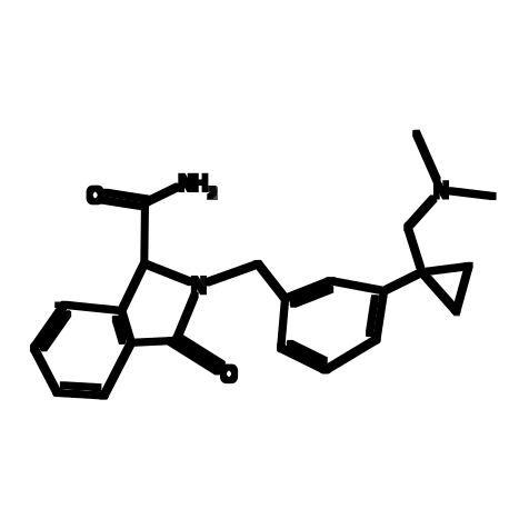 CN(C)CC1(c2cccc(CN3C(=O)c4ccc[c]c4C3C(N)=O)c2)CC1